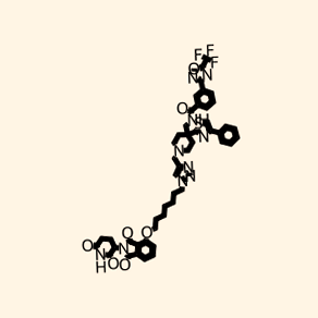 O=C1CCC(N2C(=O)c3cccc(OCCCCCCCn4cc(CN5CCC(CNC(=O)c6cccc(-c7noc(C(F)(F)F)n7)c6)(c6nc(-c7ccccc7)cs6)CC5)nn4)c3C2=O)C(=O)N1